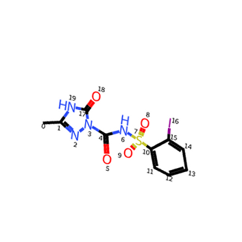 Cc1nn(C(=O)NS(=O)(=O)c2ccccc2I)c(=O)[nH]1